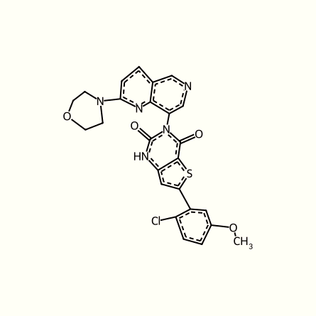 COc1ccc(Cl)c(-c2cc3[nH]c(=O)n(-c4cncc5ccc(N6CCOCC6)nc45)c(=O)c3s2)c1